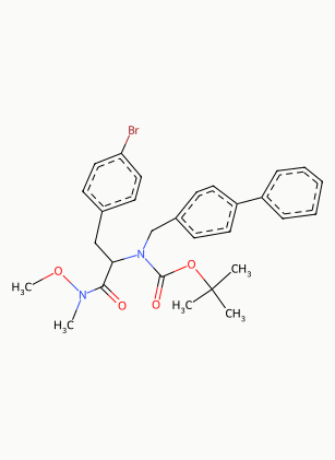 CON(C)C(=O)C(Cc1ccc(Br)cc1)N(Cc1ccc(-c2ccccc2)cc1)C(=O)OC(C)(C)C